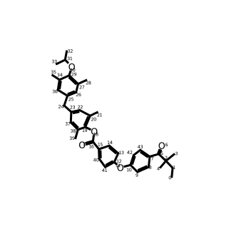 CCC(C)(C)C(=O)c1ccc(Oc2ccc(C(=O)Oc3c(C)cc(Cc4cc(C)c(OC(C)C)c(C)c4)cc3C)cc2)cc1